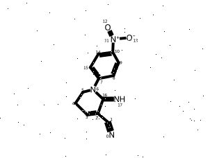 N#CC1=CCCN(c2ccc([N+](=O)[O-])cc2)C1=N